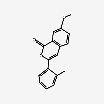 COc1ccc2cc(-c3ccccc3C)oc(=O)c2c1